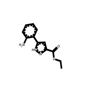 CCOC(=O)c1cc(-c2ccccc2N)[nH]n1